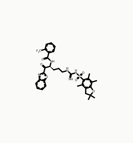 Cc1c(C)c(S(=O)(=O)NC(=N)NCCC[C@H](NC(=O)c2ccccc2C(F)(F)F)C(=O)c2nc3ccccc3s2)c(C)c2c1OC(C)(C)C2